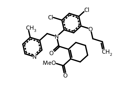 C=CCOc1cc(N(Cc2cnccc2C)C(=O)C2=C(C(=O)OC)CCCC2)c(Cl)cc1Cl